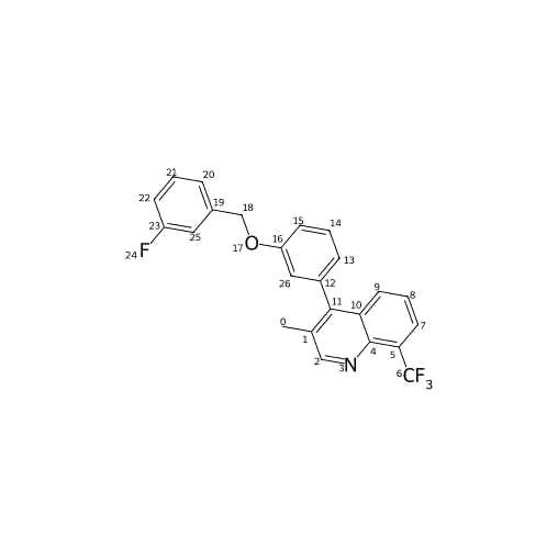 Cc1cnc2c(C(F)(F)F)cccc2c1-c1cccc(OCc2cccc(F)c2)c1